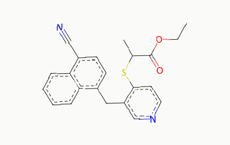 CCOC(=O)C(C)Sc1ccncc1Cc1ccc(C#N)c2ccccc12